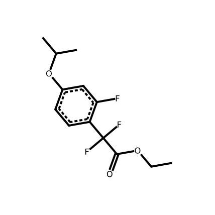 CCOC(=O)C(F)(F)c1ccc(OC(C)C)cc1F